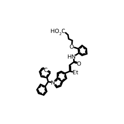 CCC(=CC(=O)Nc1ccccc1OCCCC(=O)O)c1ccc2c(ccn2C(c2ccccc2)c2ccccc2)c1